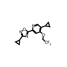 FC(F)(F)COc1cc(-c2nc(C3CC3)no2)ncc1C1CC1